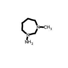 CN1CCCCN(N)C1